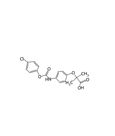 CC(C)(Oc1ccc(NC(=O)Oc2ccc(Cl)cc2)cc1)C(=O)O